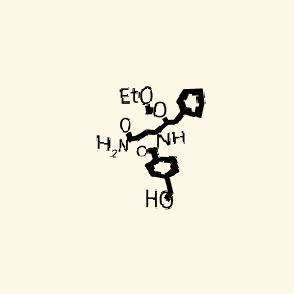 CCOCOC(Cc1ccccc1)C(CCC(N)=O)NC(=O)c1ccc(CO)cc1